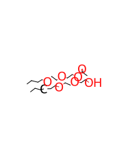 CCCCCCOCCOCCO.CCCCOCCOCCOC(C)=O